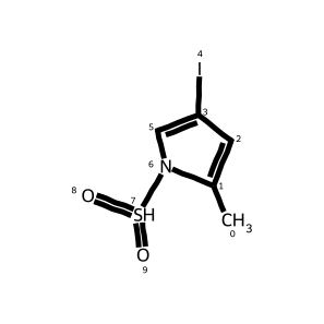 Cc1cc(I)cn1[SH](=O)=O